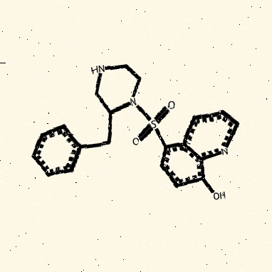 O=S(=O)(c1ccc(O)c2ncccc12)N1CCNCC1Cc1ccccc1